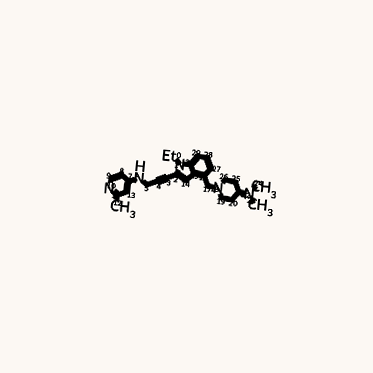 CCn1c(C#CCNc2ccnc(C)c2)cc2c(CN3CCC(N(C)C)CC3)cccc21